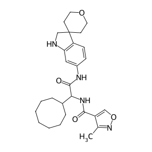 Cc1nocc1C(=O)NC(C(=O)Nc1ccc2c(c1)NCC21CCOCC1)C1CCCCCCC1